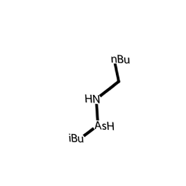 CCCCCN[AsH]C(C)CC